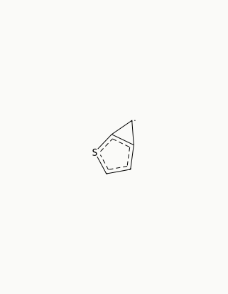 [CH]1c2ccsc21